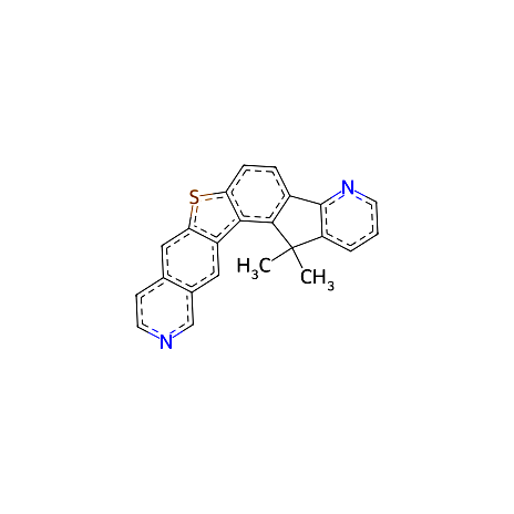 CC1(C)c2cccnc2-c2ccc3sc4cc5ccncc5cc4c3c21